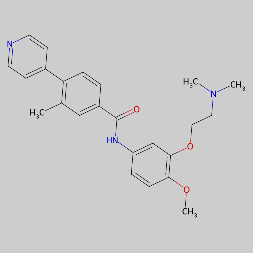 COc1ccc(NC(=O)c2ccc(-c3ccncc3)c(C)c2)cc1OCCN(C)C